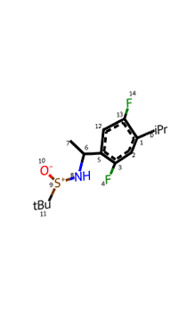 CC(C)c1cc(F)c(C(C)N[S+]([O-])C(C)(C)C)cc1F